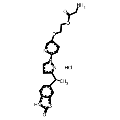 C[C@@H](c1ccc2[nH]c(=O)sc2c1)c1ccn(-c2ccc(OCCOC(=O)CN)cn2)n1.Cl